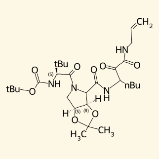 C=CCNC(=O)C(=O)C(CCCC)NC(=O)C1[C@H]2OC(C)(C)O[C@H]2CN1C(=O)[C@@H](NC(=O)OC(C)(C)C)C(C)(C)C